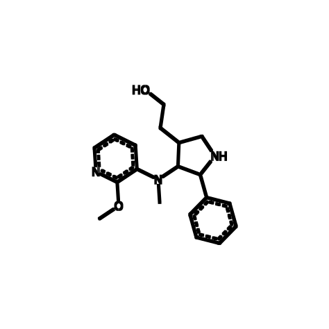 COc1ncccc1N(C)C1C(CCO)CNC1c1ccccc1